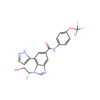 C[C@H](CO)n1cnc2cc(C(=O)Nc3ccc(OC(F)(F)Cl)cc3)cc(-c3ccn[nH]3)c21